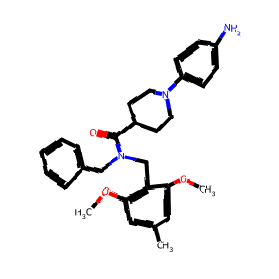 COc1cc(C)cc(OC)c1CN(Cc1ccccc1)C(=O)C1CCN(c2ccc(N)cc2)CC1